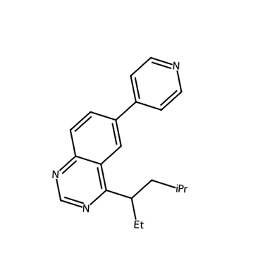 CCC(CC(C)C)c1ncnc2ccc(-c3ccncc3)cc12